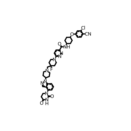 N#Cc1ccc(OC2CCC(NC(=O)c3ccc(N4CCC(F)(CN5CCC(n6ncc7c(N8CCC(=O)NC8=O)cccc76)CC5)CC4)nn3)CC2)cc1Cl